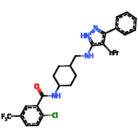 CCCc1c(-c2ccccc2)n[nH]c1NCC1CCC(NC(=O)c2cc(C(F)(F)F)ccc2Cl)CC1